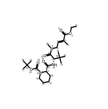 CCOC(=O)/C(C)=C/CN(C)C(=O)[C@@H](NC(=O)[C@H]1CCCCN1C(=O)OC(C)(C)C)C(C)(C)C